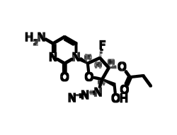 CCC(=O)O[C@H]1[C@@H](F)[C@H](n2ccc(N)nc2=O)O[C@@]1(CO)N=[N+]=[N-]